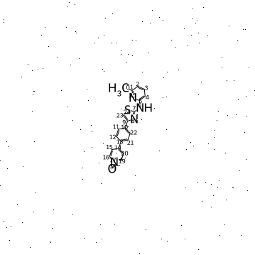 Cc1cccc(Nc2nc(-c3ccc(-c4cc[n+]([O-])cc4)cc3)cs2)n1